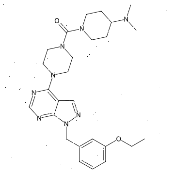 CCOc1cccc(Cn2ncc3c(N4CCN(C(=O)N5CCC(N(C)C)CC5)CC4)ncnc32)c1